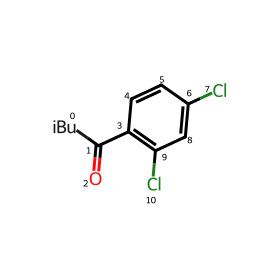 CCC(C)C(=O)c1ccc(Cl)cc1Cl